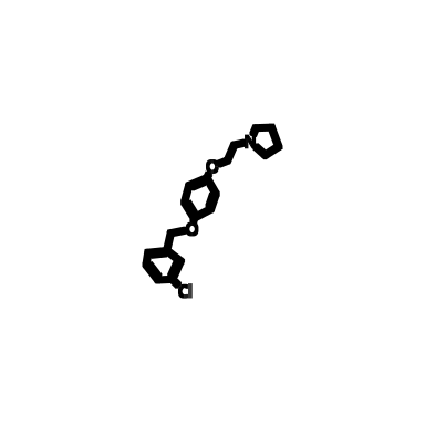 Clc1cccc(COc2ccc(OCCN3CCCC3)cc2)c1